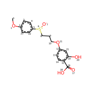 COc1ccc([S+]([O-])CCCOc2ccc(C(=O)O)c(O)c2)cc1